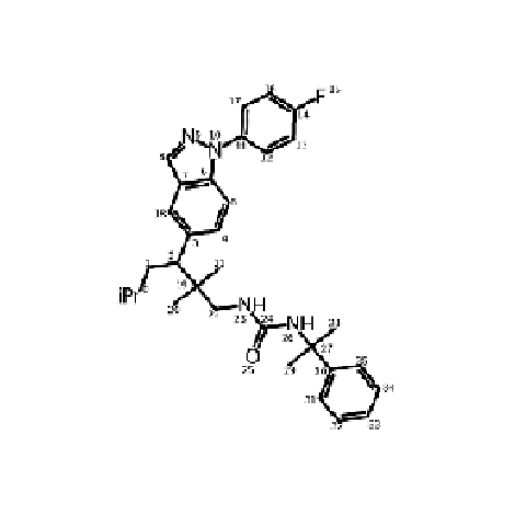 CC(C)CC(c1ccc2c(cnn2-c2ccc(F)cc2)c1)C(C)(C)CNC(=O)NC(C)(C)c1ccccc1